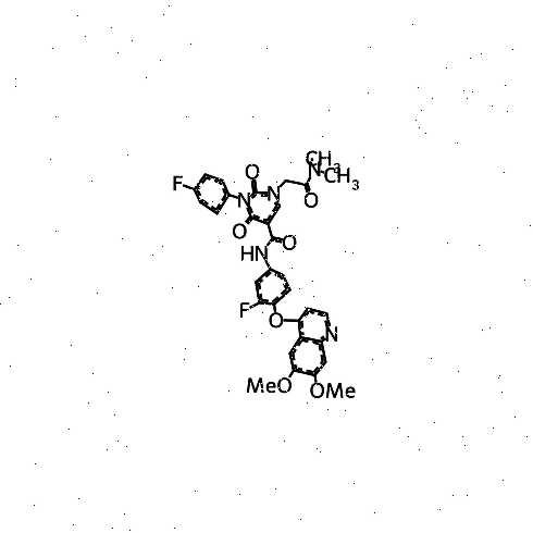 COc1cc2nccc(Oc3ccc(NC(=O)c4cn(CC(=O)N(C)C)c(=O)n(-c5ccc(F)cc5)c4=O)cc3F)c2cc1OC